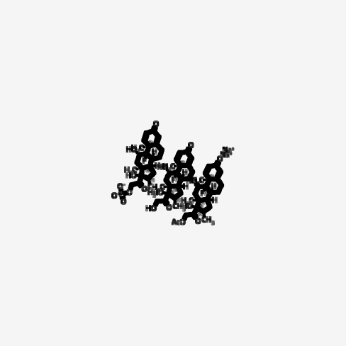 CC(=O)OCC(=O)[C@@]1(O)[C@H](C)C[C@H]2[C@@H]3CCC4=CC(=O)C=C[C@]4(C)[C@@]3(F)C(O)C[C@@]21C.C[C@@H]1C[C@H]2[C@@H]3CCC4=CC(=O)C=C[C@]4(C)[C@@]3(F)[C@@H](O)C[C@]2(C)[C@@]1(O)C(=O)CO.C[C@@H]1C[C@H]2[C@@H]3CCC4=CC(=O)C=C[C@]4(C)[C@@]3(F)[C@@H](O)C[C@]2(C)[C@@]1(O)C(=O)COP(=O)([O-])[O-].[Na+].[Na+]